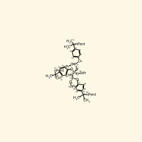 CCCCCC(C)(C)c1ccc(OP(N=P(NP(OCCC)Oc2ccc(C(C)(C)CCCCC)cc2)(OCCC)Oc2ccc(C(C)(C)CCCCC)cc2)OCCC)cc1